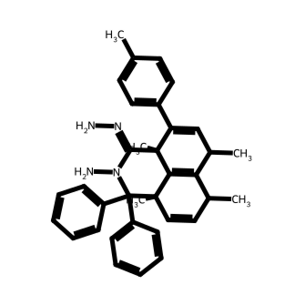 Cc1ccc(C2=CC(C)C3=C4C2(C)/C(=N/N)N(N)C(c2ccccc2)(c2ccccc2)C4(C)C=CC3C)cc1